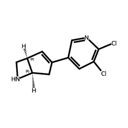 Clc1cc(C2=C[C@@H]3CN[C@@H]3C2)cnc1Cl